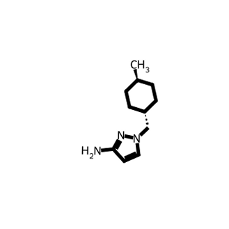 C[C@H]1CC[C@H](Cn2ccc(N)n2)CC1